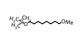 COCCCCCCCCO[Si](C)(C)C